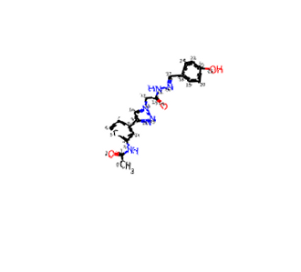 CC(=O)Nc1cccc(-c2cn(CC(=O)NN=Cc3ccc(O)cc3)nn2)c1